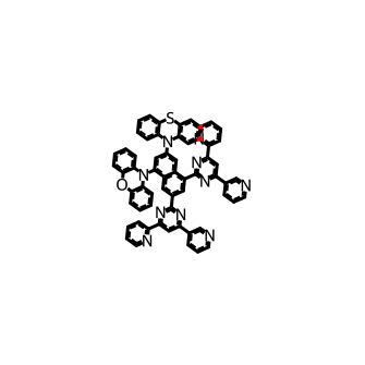 c1ccc(-c2cc(-c3cccnc3)nc(-c3cc(-c4nc(-c5cccnc5)cc(-c5ccccn5)n4)c4cc(N5c6ccccc6Sc6ccccc65)cc(N5c6ccccc6Oc6ccccc65)c4c3)n2)nc1